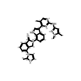 Cc1cnc(Nc2cc(C)n(C)n2)nc1-c1c[nH]c2c(N3Cc4c(cccc4N4C=COC4C)C3=O)cccc12